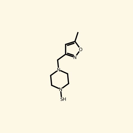 Cc1cc(CN2CCN(S)CC2)no1